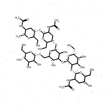 CC(=O)NC1C[C@H](O)C(CO)O[C@H]1OC1C(O)[C@H](O)[C@@H](CO)O[C@@H]1OC1C(O)[C@H](O[C@H]2CC(NC(C)=O)[C@H](O[C@H]3CC(NC(C)=O)[C@H](C)OC3CO)OC2CO)OC(CO[C@H]2OC(CO)[C@@H](O)C(O)C2O)[C@H]1O